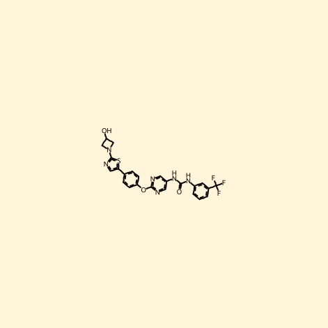 O=C(Nc1cnc(Oc2ccc(-c3cnc(N4CC(O)C4)s3)cc2)nc1)Nc1cccc(C(F)(F)F)c1